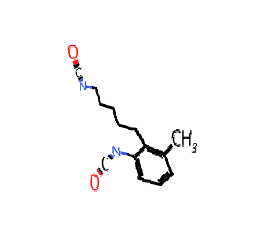 Cc1cccc(N=C=O)c1CCCCCN=C=O